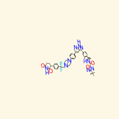 Cc1cc(-c2n[nH]c3ncc(-c4ccc(N5CCN(CC(F)(F)c6ccc(C7CCC(=O)NC7=O)cc6)CC5)cc4)cc23)ccc1[C@@H](C)NC(=O)c1nc(C(C)(C)C)no1